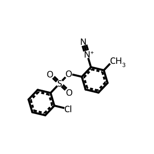 Cc1cccc(OS(=O)(=O)c2ccccc2Cl)c1[N+]#N